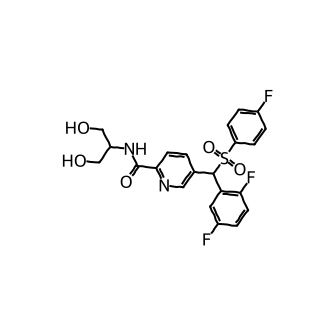 O=C(NC(CO)CO)c1ccc(C(c2cc(F)ccc2F)S(=O)(=O)c2ccc(F)cc2)cn1